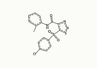 Cc1ccccc1NC(=O)c1nnsc1S(=O)(=O)c1ccc(Cl)cc1